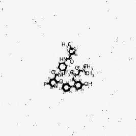 Cc1nc(C(=O)N[C@H]2CC[C@@H](NC(=O)c3cc(F)cnc3Oc3cccc(-c4ccc(O)cc4CN(C)CC(=O)N(C)C)c3)CC2)cs1